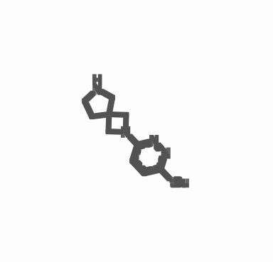 CC(C)(C)c1ccc(N2CC3(CCNC3)C2)nn1